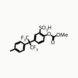 COC(=O)Oc1ccc(C(c2ccc(C)cc2)(C(F)(F)F)C(F)(F)F)cc1S(=O)(=O)O